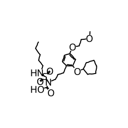 CCCCCNS(=O)(=O)N(CCCc1ccc(OCCOC)cc1OC1CCCCC1)C(=O)O